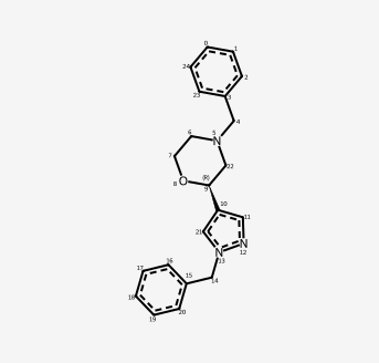 c1ccc(CN2CCO[C@H](c3cnn(Cc4ccccc4)c3)C2)cc1